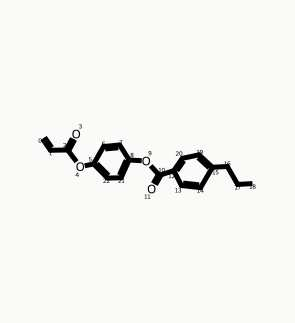 C=CC(=O)Oc1ccc(OC(=O)c2ccc(CCC)cc2)cc1